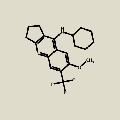 COc1cc2c(NC3CCCCC3)c3c(nc2cc1C(F)(F)F)CCC3